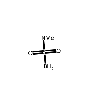 BS(=O)(=O)NC